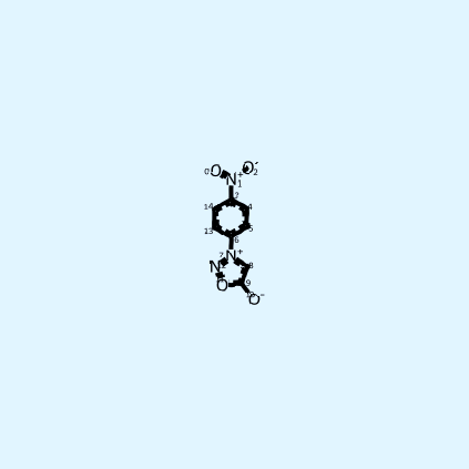 O=[N+]([O-])c1ccc(-[n+]2cc([O-])on2)cc1